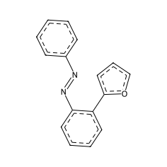 c1ccc(N=Nc2ccccc2-c2ccco2)cc1